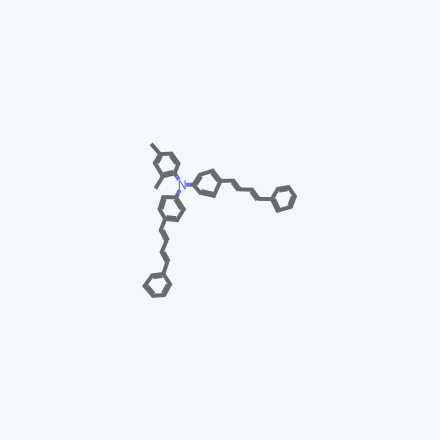 Cc1ccc(N(c2ccc(/C=C/C=C/c3ccccc3)cc2)c2ccc(/C=C/C=C/c3ccccc3)cc2)c(C)c1